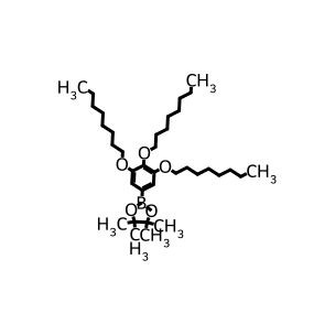 CCCCCCCCOc1cc(B2OC(C)(C)C(C)(C)O2)cc(OCCCCCCCC)c1OCCCCCCCC